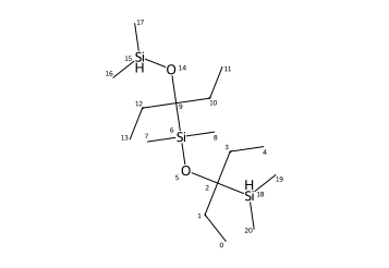 CCC(CC)(O[Si](C)(C)C(CC)(CC)O[SiH](C)C)[SiH](C)C